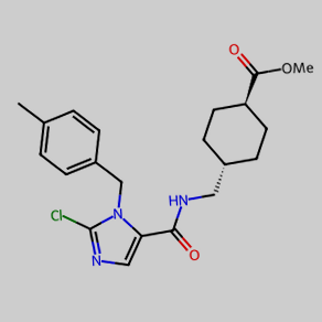 COC(=O)[C@H]1CC[C@H](CNC(=O)c2cnc(Cl)n2Cc2ccc(C)cc2)CC1